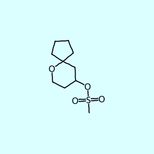 CS(=O)(=O)OC1CCOC2(CCCC2)C1